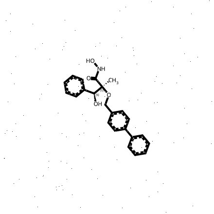 C[C@@](OCc1ccc(-c2ccccc2)cc1)(C(=O)NO)[C@@H](O)c1ccccc1